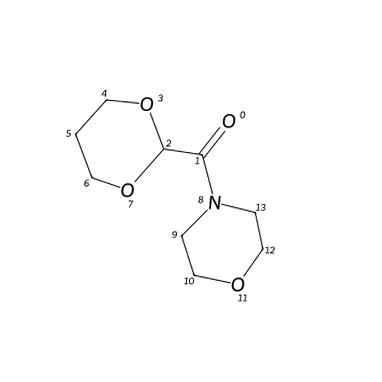 O=C(C1OCCCO1)N1CCOCC1